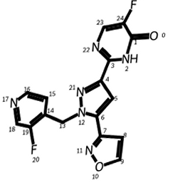 O=c1[nH]c(-c2cc(-c3ccon3)n(Cc3ccncc3F)n2)ncc1F